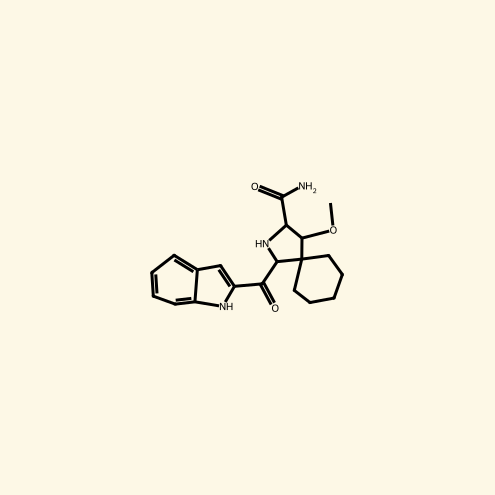 COC1C(C(N)=O)NC(C(=O)c2cc3ccccc3[nH]2)C12CCCCC2